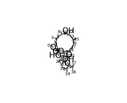 CO/C1=C/C(C)=C\[C@@H](C)[C@@H](O)[C@@H](C)C/C(C)=C\C=C/[C@H](OC)[C@@H]([C@@H](C)[C@@H](O)[C@H](C)[C@@]2(O)CC[C@H](C)[C@@H](C(C)C)O2)OC1=O